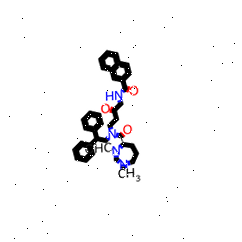 CN1CCC[C@@H](C(=O)N(CCC(=O)CNC(=O)c2ccc3ccccc3c2)CC(c2ccccc2)c2ccccc2)N(C=O)C1